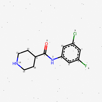 O=C(Nc1cc(F)cc(Cl)c1)C1CCNCC1